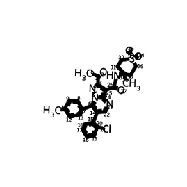 CC(=O)c1nn2c(-c3ccc(C)cc3)c(-c3ccccc3Cl)cnc2c1C(=O)NC1(C)CCS(=O)(=O)CC1